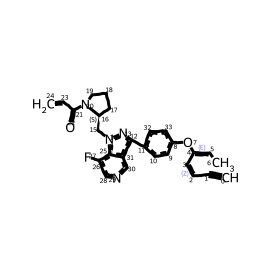 C#C/C=C\C(=C/C)Oc1ccc(-c2nn(C[C@@H]3CCCN3C(=O)C=C)c3c(F)cncc23)cc1